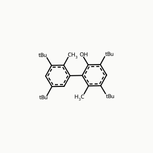 Cc1c(-c2c(C)c(C(C)(C)C)cc(C(C)(C)C)c2O)cc(C(C)(C)C)cc1C(C)(C)C